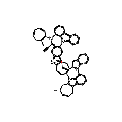 C#CC(=C)N(C1=C(C)CC=CC=C1)c1cccc2c3ccccc3n(-c3ccc4sc5c(c4c3)CC=C(n3c4c(c6cccc(-n7c(/C=C\C=C)cc8ccccc87)c63)CC=C[C@H](C)C4)C=C5)c12